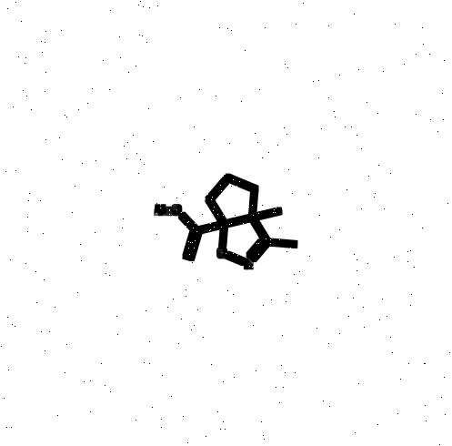 C=C(OC)C12CCCC1(C)C(C)=NO2